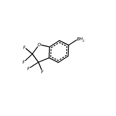 Bc1ccc2c(c1)OC(F)(F)C2(F)F